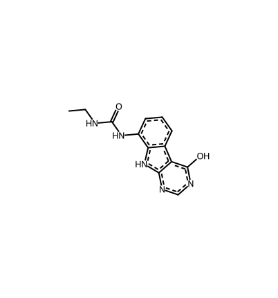 CCNC(=O)Nc1cccc2c1[nH]c1ncnc(O)c12